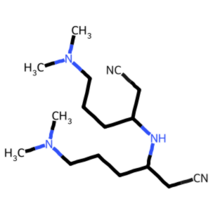 CN(C)CCCC(CC#N)NC(CC#N)CCCN(C)C